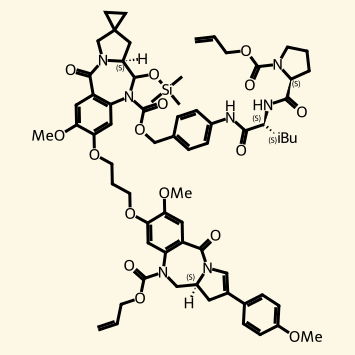 C=CCOC(=O)N1C[C@@H]2CC(c3ccc(OC)cc3)=CN2C(=O)c2cc(OC)c(OCCCOc3cc4c(cc3OC)C(=O)N3CC5(CC5)C[C@H]3C(O[Si](C)(C)C)N4C(=O)OCc3ccc(NC(=O)[C@@H](NC(=O)[C@@H]4CCCN4C(=O)OCC=C)[C@@H](C)CC)cc3)cc21